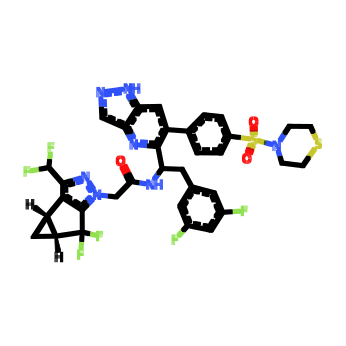 O=C(Cn1nc(C(F)F)c2c1C(F)(F)[C@@H]1C[C@H]21)NC(Cc1cc(F)cc(F)c1)c1nc2cn[nH]c2cc1-c1ccc(S(=O)(=O)N2CCSCC2)cc1